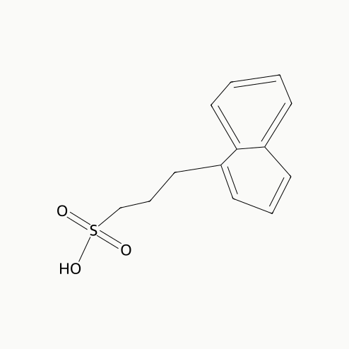 O=S(=O)(O)CCCc1cccc2ccccc12